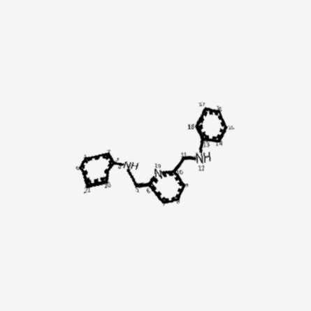 c1ccc(NCc2cccc(CNc3ccccc3)n2)cc1